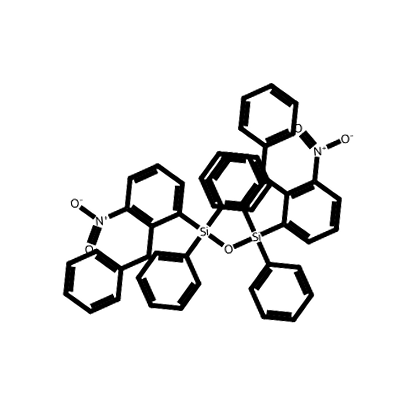 O=[N+]([O-])c1cccc([Si](O[Si](c2ccccc2)(c2ccccc2)c2cccc([N+](=O)[O-])c2Cc2ccccc2)(c2ccccc2)c2ccccc2)c1Cc1ccccc1